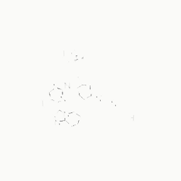 COc1cc(N2CCN(CCO)CC2)ccc1Nc1ncc(F)c(-c2cnc3ccccn23)n1.O=S(=O)(O)O